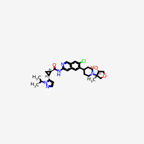 CC(C)n1nccc1[C@@H]1C[C@H]1C(=O)Nc1cc2cc(C3CCN([C@@]4(C)COC[C@H]4O)CC3)c(Cl)cc2cn1